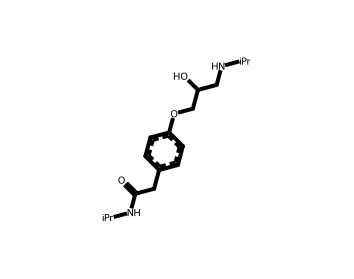 CC(C)NCC(O)COc1ccc(CC(=O)NC(C)C)cc1